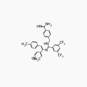 C/C=C(\C=C/C(C)(C)C)C(=C\c1ccc(C)cc1)/N=C(\NCc1ccc(C(=N)N)cc1)c1cc(C(F)(F)F)cc(C(F)(F)F)c1